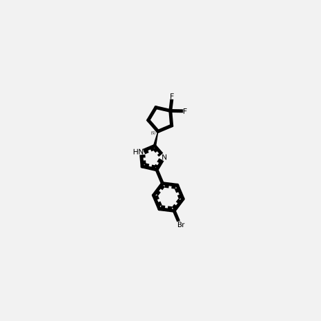 FC1(F)CC[C@H](c2nc(-c3ccc(Br)cc3)c[nH]2)C1